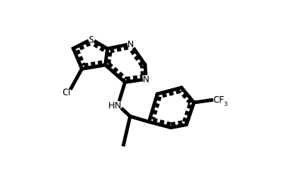 CC(Nc1ncnc2scc(Cl)c12)c1ccc(C(F)(F)F)cc1